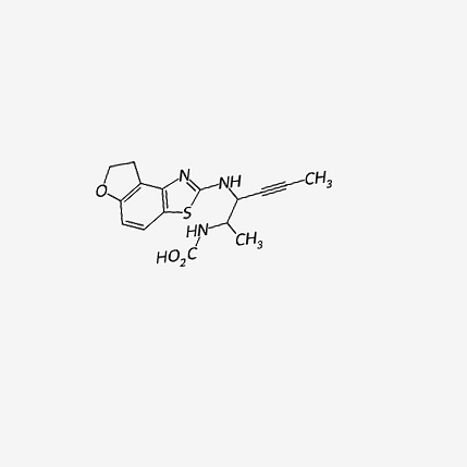 CC#CC(Nc1nc2c3c(ccc2s1)OCC3)C(C)NC(=O)O